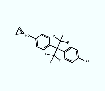 C1=CC1.Oc1ccc(C(c2ccc(O)cc2)(C(F)(F)F)C(F)(F)F)cc1